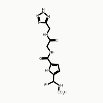 CC(C)C(NC(=O)O)c1ccc(C(=O)NCC(=O)NCc2nn[nH]n2)[nH]1